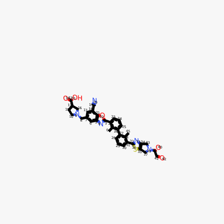 Cc1c(-c2nc3cc(CN4CCC(C(=O)O)C4)cc(C#N)c3o2)cccc1-c1cccc(-c2nc3c(s2)CN(C(=O)C=O)C3)c1C